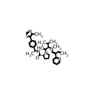 C=C/C(=C\N(C)C(C(=O)N1CCC[C@H]1C(=O)N[C@@H](C)c1ccc(-c2scnc2C)cc1)C(C)C)c1ccccn1